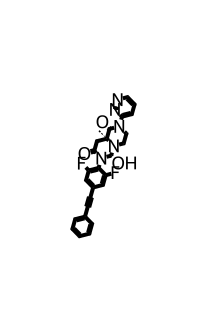 C[C@@]12CC(=O)N(c3c(F)cc(C#Cc4ccccc4)cc3F)C(O)N1CCN(c1cccnn1)C2=O